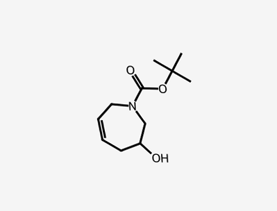 CC(C)(C)OC(=O)N1CC=CCC(O)C1